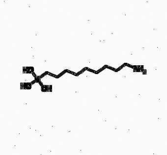 NCCCCCCCCC[Si](O)(O)O